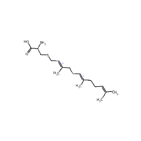 CC(C)=CCC/C(C)=C/CC/C(C)=C/CSCC(N)C(=O)O